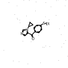 CCSc1ccc(C(=O)c2cncn2C2CC2)cc1